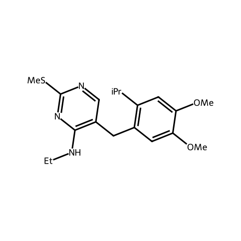 CCNc1nc(SC)ncc1Cc1cc(OC)c(OC)cc1C(C)C